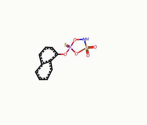 O=S1(=O)NOP(=S)(Oc2cccc3ccccc23)O1